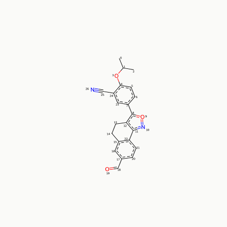 CC(C)Oc1ccc(-c2onc3c2CCc2cc(C=O)ccc2-3)cc1C#N